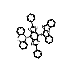 c1ccc(-c2nc3c(-n4c5ccccc5n5c6ccccc6nc45)c4oc(-c5ccccc5)nc4c(N4c5ccccc5Oc5ccccc54)c3o2)cc1